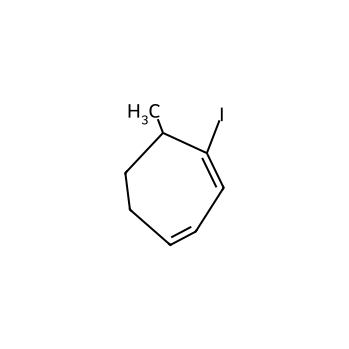 CC1CCC=CC=C1I